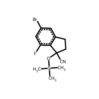 C[Si](C)(C)OC1(C#N)CCc2cc(Br)cc(F)c21